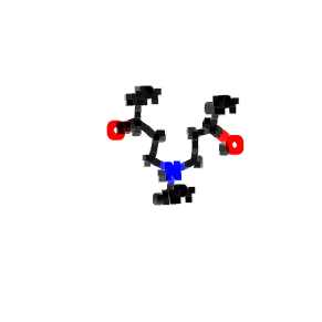 CCCN(CCC(=O)C(C)C)CCC(=O)C(C)C